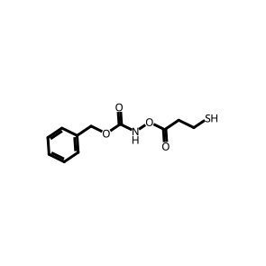 O=C(CCS)ONC(=O)OCc1ccccc1